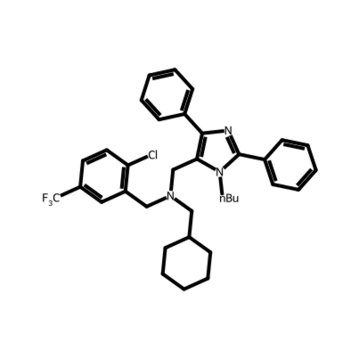 CCCCn1c(-c2ccccc2)nc(-c2ccccc2)c1CN(Cc1cc(C(F)(F)F)ccc1Cl)CC1CCCCC1